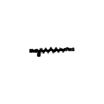 CCCCCC=CCC=CCCCCCC(=O)OC